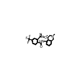 CON1N=C1c1cc(C(F)(F)F)ccc1C(=O)Nc1cccc2c1CCN(C)C2